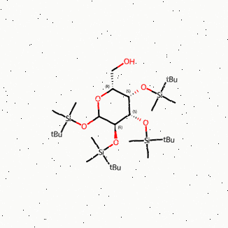 CC(C)(C)[Si](C)(C)OC1O[C@H](CO)[C@H](O[Si](C)(C)C(C)(C)C)[C@H](O[Si](C)(C)C(C)(C)C)[C@H]1O[Si](C)(C)C(C)(C)C